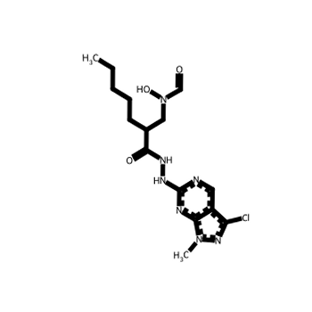 CCCCCC(CN(O)C=O)C(=O)NNc1ncc2c(Cl)nn(C)c2n1